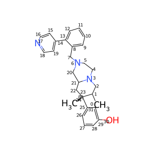 CC1CN2CCN(Cc3ccccc3-c3ccncc3)CC2C[C@@]1(C)c1cccc(O)c1